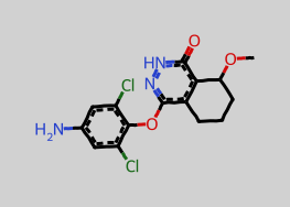 COC1CCCc2c(Oc3c(Cl)cc(N)cc3Cl)n[nH]c(=O)c21